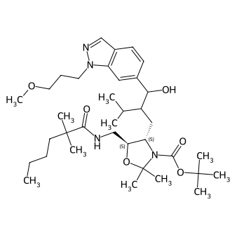 CCCCC(C)(C)C(=O)NC[C@@H]1OC(C)(C)N(C(=O)OC(C)(C)C)[C@H]1CC(C(C)C)C(O)c1ccc2cnn(CCCOC)c2c1